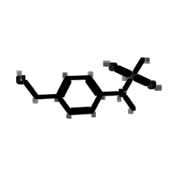 CN(c1ccc(CCl)cc1)S(C)(=O)=O